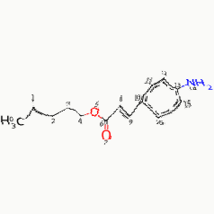 CCCCCOC(=O)C=Cc1ccc(N)cc1